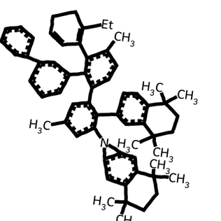 CCC1=C(c2c(C)ccc(-c3cc(C)cc(N4c5cc6c(cc54)C(C)(C)CCC6(C)C)c3-c3ccc4c(c3)C(C)(C)CCC4(C)C)c2-c2cccc(-c3ccccc3)c2)C=CCC1